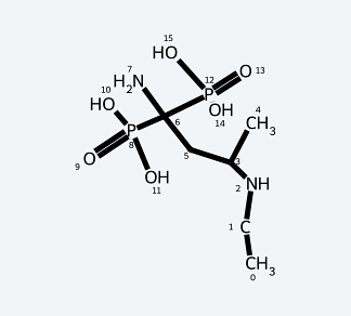 CCNC(C)CC(N)(P(=O)(O)O)P(=O)(O)O